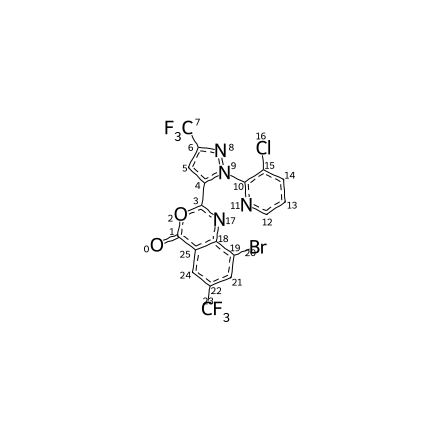 O=c1oc(-c2cc(C(F)(F)F)nn2-c2ncccc2Cl)nc2c(Br)cc(C(F)(F)F)cc12